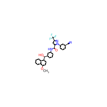 COc1ccc(C(O)c2cccc(NC(=O)c3cc(C(F)(F)F)nn3-c3cccc(C#N)c3)c2)c2ccccc12